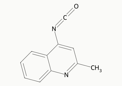 Cc1cc(N=C=O)c2ccccc2n1